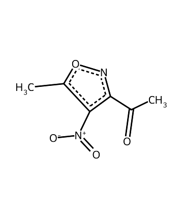 CC(=O)c1noc(C)c1[N+](=O)[O-]